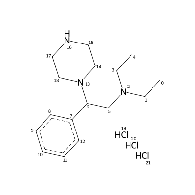 CCN(CC)CC(c1ccccc1)N1CCNCC1.Cl.Cl.Cl